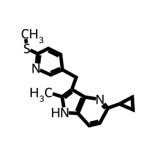 CSc1ccc(Cc2c(C)[nH]c3ccc(C4CC4)nc23)cn1